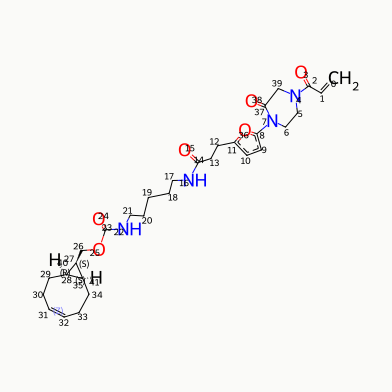 C=CC(=O)N1CCN(c2ccc(CCC(=O)NCCCCCNC(=O)OC[C@@H]3[C@@H]4CC/C=C\CC[C@@H]43)o2)C(=O)C1